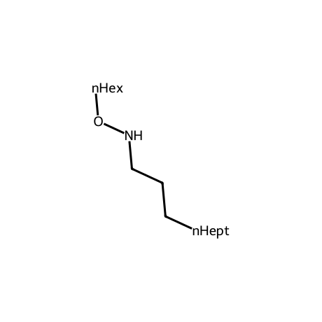 CCCCCCCCCCNOCCCCCC